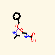 CC(C)NP(OCCNC(=O)O)OCc1ccccc1